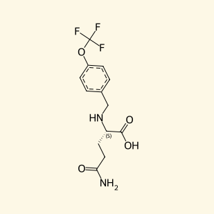 NC(=O)CC[C@H](NCc1ccc(OC(F)(F)F)cc1)C(=O)O